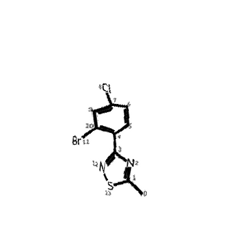 Cc1nc(-c2ccc(Cl)cc2Br)ns1